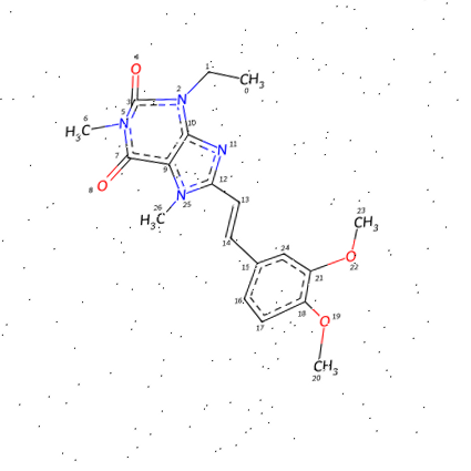 CCn1c(=O)n(C)c(=O)c2c1nc(/C=C/c1ccc(OC)c(OC)c1)n2C